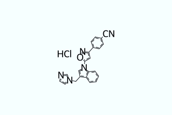 Cl.N#Cc1ccc(-c2cc(-n3cc(Cn4ccnc4)c4ccccc43)on2)cc1